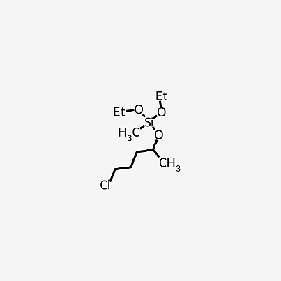 CCO[Si](C)(OCC)OC(C)CCCCl